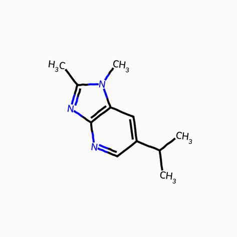 Cc1nc2ncc(C(C)C)cc2n1C